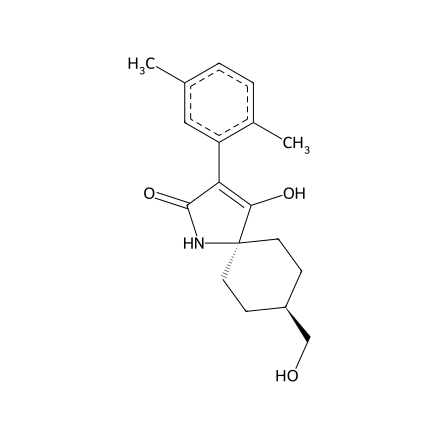 Cc1ccc(C)c(C2=C(O)[C@]3(CC[C@H](CO)CC3)NC2=O)c1